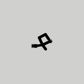 CC1(O)CC[N]1